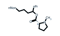 CCCCCCCCCCCCC(CCC)OC(=O)[C@H]1CCCN1C